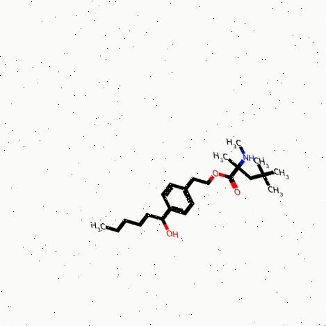 CCCCCC(O)c1ccc(CCOC(=O)C(C)(CC(C)(C)C)NC)cc1